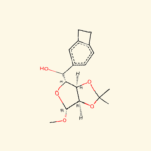 CO[C@@H]1O[C@H](C(O)c2ccc3c(c2)CC3)[C@H]2OC(C)(C)O[C@@H]12